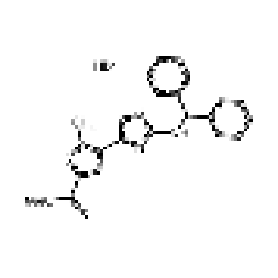 Br.COC(=S)c1cc(-c2csc(NC(c3ccccc3)c3ccccc3)n2)c(C)s1